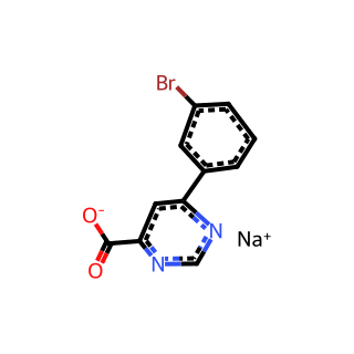 O=C([O-])c1cc(-c2cccc(Br)c2)ncn1.[Na+]